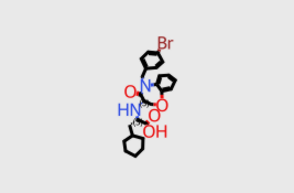 O=C(O)[C@H](CC1CCCCC1)N[C@H]1COc2ccccc2N(Cc2ccc(Br)cc2)C1=O